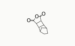 O=C1OC(=O)C2C1C1C3CCC(C3)C21